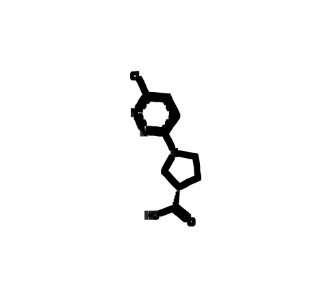 O=C(O)[C@H]1CCN(c2ccc(Cl)nn2)C1